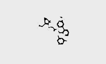 NN(CC(=O)N[C@@H](Cc1cc(F)cc(F)c1)c1ncccc1-c1ccc2scnc2c1)C1=C(CC(F)F)C2CC2C1(F)F